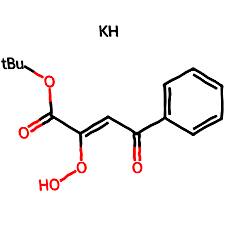 CC(C)(C)OC(=O)C(=CC(=O)c1ccccc1)OO.[KH]